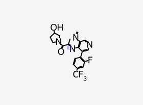 C=Nc1cncc(-c2ccc(C(F)(F)F)cc2F)c1/N=C(\C)C(=O)N1CCC(O)C1